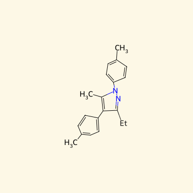 CCc1nn(-c2ccc(C)cc2)c(C)c1-c1ccc(C)cc1